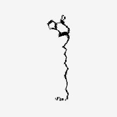 CCCCCCCCCCCCCCCCCCCCCC1=Cc2sccc2C(=O)C1